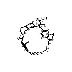 Cc1cc2ccc1C(=O)N1CCc3ccc(cc3C1)[C@@H]([C@H](C)C(=O)O)c1ccc3c(c1)nnn3CCCCCCO2